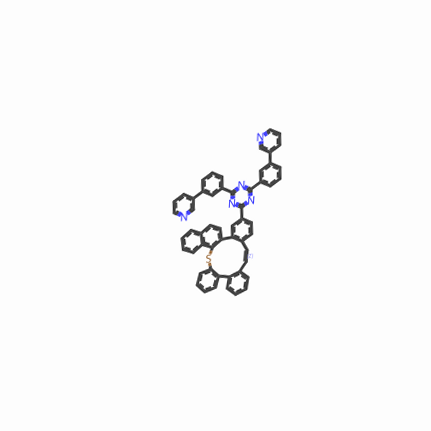 C1=C\c2ccc(-c3nc(-c4cccc(-c5cccnc5)c4)nc(-c4cccc(-c5cccnc5)c4)n3)cc2-c2ccc3ccccc3c2Sc2ccccc2-c2ccccc2/1